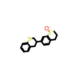 [O-][S+]1CCCc2ccc(C3CSc4ccccc4C3)cc21